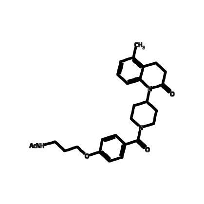 CC(=O)NCCCOc1ccc(C(=O)N2CCC(N3C(=O)CCc4c(C)cccc43)CC2)cc1